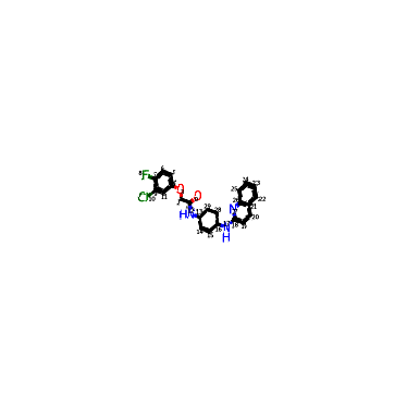 O=C(COc1ccc(F)c(Cl)c1)NC1CCC(Nc2ccc3ccccc3n2)CC1